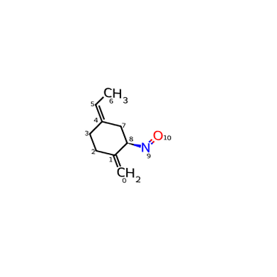 C=C1CCC(=CC)C[C@H]1N=O